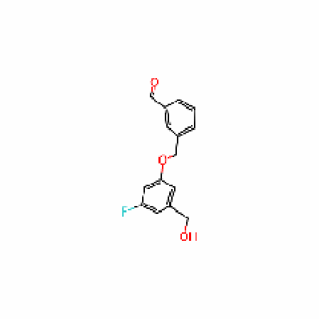 O=Cc1cccc(COc2cc(F)cc(CO)c2)c1